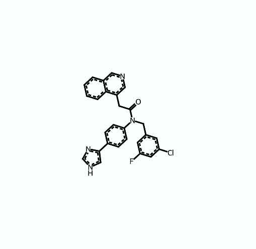 O=C(Cc1cncc2ccccc12)N(Cc1cc(F)cc(Cl)c1)c1ccc(-c2c[nH]cn2)cc1